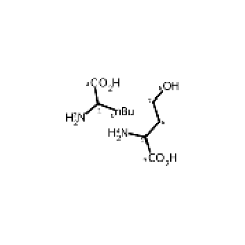 CCCCC(N)C(=O)O.NC(CCO)C(=O)O